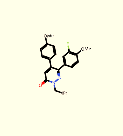 COc1ccc(-c2cc(=O)n(CC(C)C)nc2-c2ccc(OC)c(F)c2)cc1